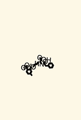 Cc1ccc([N+](=O)[O-])c(SOCCC[C@H](NC(=O)Cc2ccccc2)C(=O)O)c1